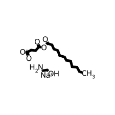 CCCCCCCCCCCC(=O)OC(=O)CCC(=O)[O-].NCCO.[Na+]